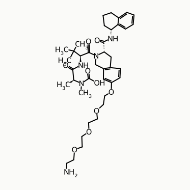 C[C@@H](C(=O)N[C@H](C(=O)N1Cc2cc(OCCOCCOCCOCCN)ccc2C[C@H]1C(=O)N[C@@H]1CCCc2ccccc21)C(C)(C)C)N(C)C(=O)O